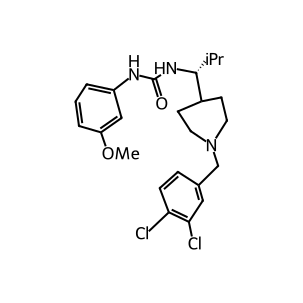 COc1cccc(NC(=O)N[C@H](C(C)C)C2CCN(Cc3ccc(Cl)c(Cl)c3)CC2)c1